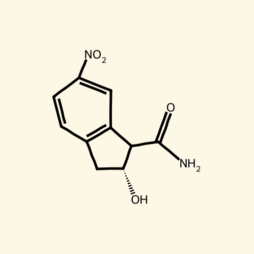 NC(=O)C1c2cc([N+](=O)[O-])ccc2C[C@H]1O